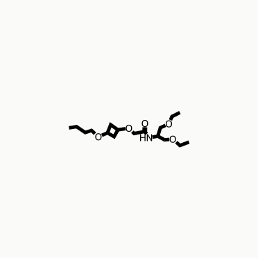 CCCCOC1CC(OCC(=O)NC(COCC)COCC)C1